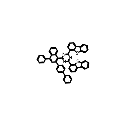 c1ccc(-c2ccc(-c3cc(-c4ccccc4)c4ccccc4c3-c3nc(-c4cccc5c4sc4ccccc45)nc(-c4cccc5c4sc4ccccc45)n3)cc2)cc1